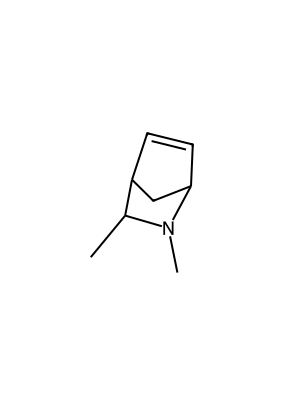 CC1C2C=CC(C2)N1C